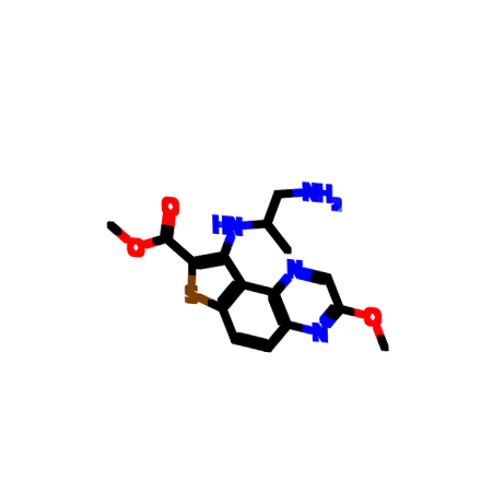 COC(=O)c1sc2ccc3nc(OC)cnc3c2c1NC(C)CN